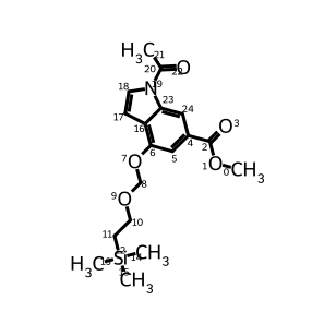 COC(=O)c1cc(OCOCC[Si](C)(C)C)c2ccn(C(C)=O)c2c1